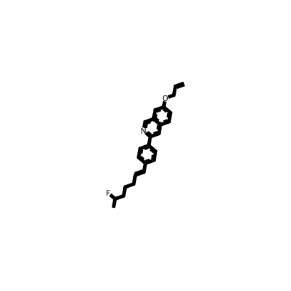 C=CCOc1ccc2cc(-c3ccc(/C=C/CCCC(C)F)cc3)ncc2c1